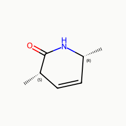 C[C@@H]1C=C[C@H](C)C(=O)N1